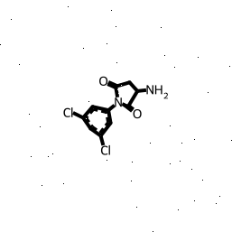 NC1CC(=O)N(c2cc(Cl)cc(Cl)c2)C1=O